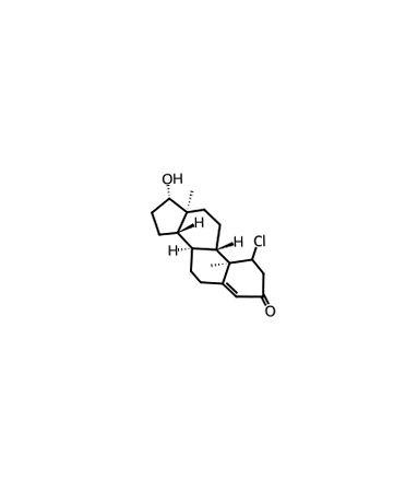 C[C@]12CC[C@H]3[C@@H](CCC4=CC(=O)CC(Cl)[C@@]43C)[C@@H]1CC[C@@H]2O